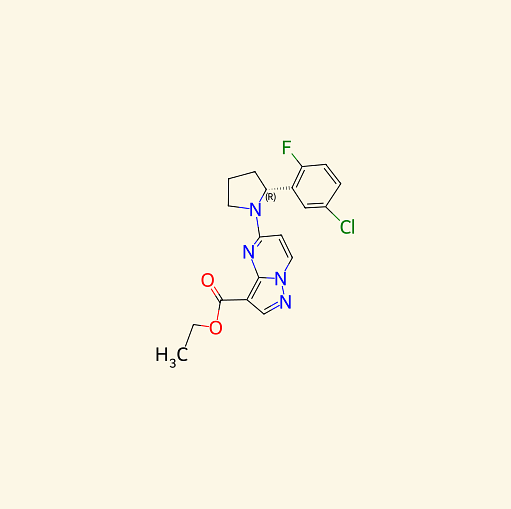 CCOC(=O)c1cnn2ccc(N3CCC[C@@H]3c3cc(Cl)ccc3F)nc12